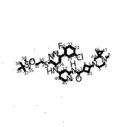 CN1CCN(C2CC(C(=O)Nc3cc(Nc4cc(-c5cc(Cl)ccc5F)nnc4SCCO[Si](C)(C)C(C)(C)C)ccn3)C2)CC12CC2